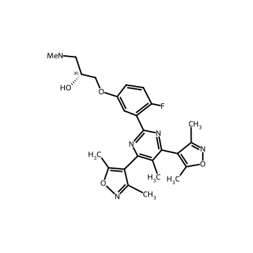 CNC[C@@H](O)COc1ccc(F)c(-c2nc(-c3c(C)noc3C)c(C)c(-c3c(C)noc3C)n2)c1